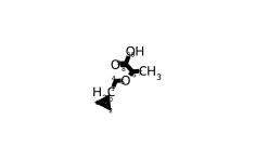 C1=CC1.CCOC(C)C(=O)O